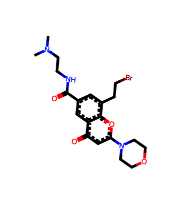 CN(C)CCNC(=O)c1cc(CCBr)c2oc(N3CCOCC3)cc(=O)c2c1